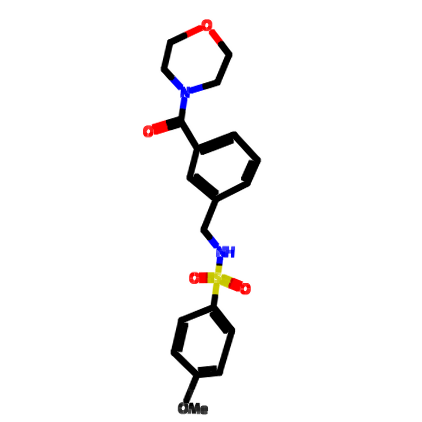 COc1ccc(S(=O)(=O)NCc2cccc(C(=O)N3CCOCC3)c2)cc1